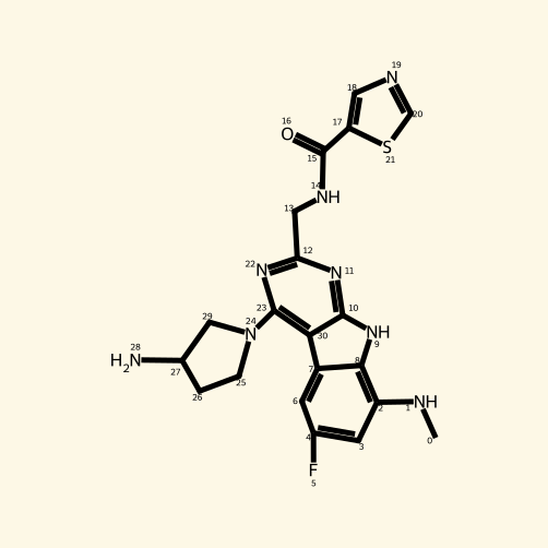 CNc1cc(F)cc2c1[nH]c1nc(CNC(=O)c3cncs3)nc(N3CCC(N)C3)c12